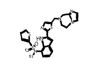 CCN(c1cccc2cc(-c3ncc(CN4CCn5ccnc5C4)s3)[nH]c12)S(=O)(=O)c1cccs1